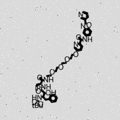 CC(C)CC(NC(=O)C(O)C(Cc1ccccc1)NC(=O)OC(C)(C)C)C(=O)NCCOCCOCCOCCOc1ccc(C(=O)Nc2ccc3oc(-c4cccnc4)nc3c2)nc1